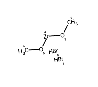 Br.Br.C[O][Zr][O]C